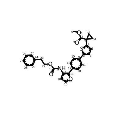 COC(=O)C1(c2ccc(-c3ccc(-c4occc4NC(=O)OCCc4ccccc4)cc3)s2)CC1